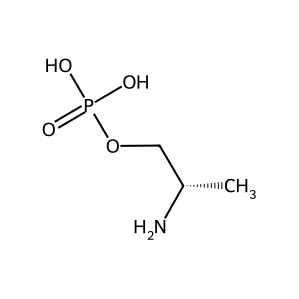 C[C@H](N)COP(=O)(O)O